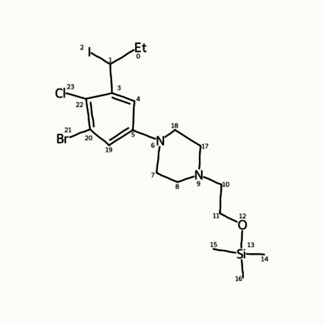 CCC(I)c1cc(N2CCN(CCO[Si](C)(C)C)CC2)cc(Br)c1Cl